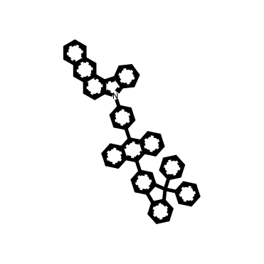 c1ccc(C2(c3ccccc3)c3ccccc3-c3ccc(-c4c5ccccc5c(-c5ccc(-n6c7ccccc7c7c8cc9ccccc9cc8ccc76)cc5)c5ccccc45)cc32)cc1